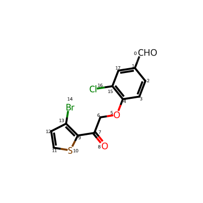 O=Cc1ccc(OCC(=O)c2sccc2Br)c(Cl)c1